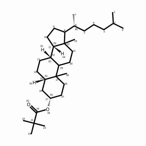 CC(C)CCC[C@@H](C)C1CC[C@H]2[C@H]3CC[C@H]4C[C@@H](OC(=O)C(C)(C)C)CCC4(C)C3CCC12C